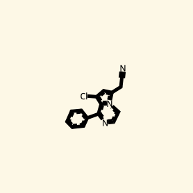 N#CCc1cc(Cl)c2c(-c3ccccc3)nccn12